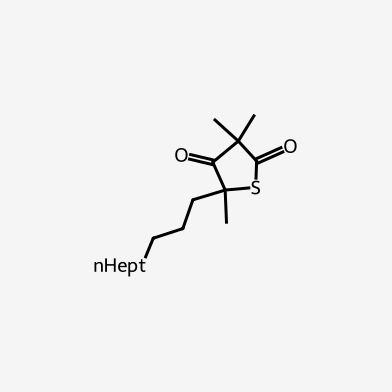 CCCCCCCCCCC1(C)SC(=O)C(C)(C)C1=O